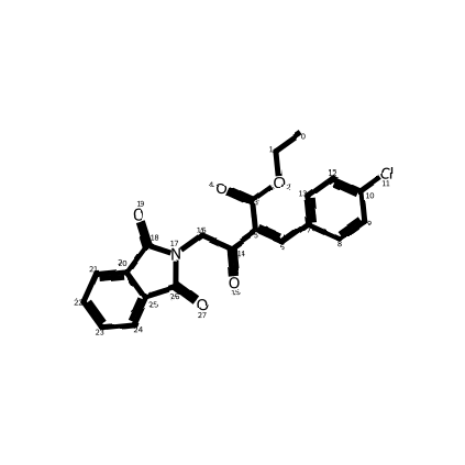 CCOC(=O)/C(=C\c1ccc(Cl)cc1)C(=O)CN1C(=O)c2ccccc2C1=O